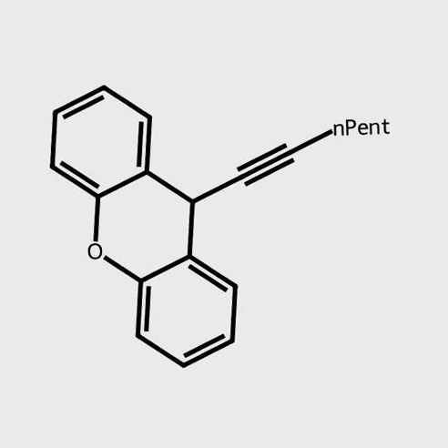 CCCCCC#CC1c2ccccc2Oc2ccccc21